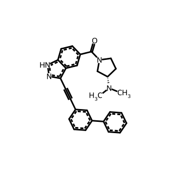 CN(C)[C@H]1CCN(C(=O)c2ccc3[nH]nc(C#Cc4cccc(-c5ccccc5)c4)c3c2)C1